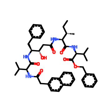 CC[C@H](C)[C@H](NC(=O)C[C@H](O)[C@H](Cc1ccccc1)NC(=O)[C@@H](NC(=O)Cc1ccc2ccccc2c1)C(C)C)C(=O)N[C@H](C(=O)OCc1ccccc1)C(C)C